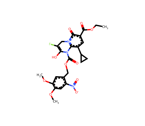 CCOC(=O)c1cc(C2CC2)c2n(c1=O)CC(F)=C(O)N2C(=O)OCc1cc(OC)c(OC)cc1[N+](=O)[O-]